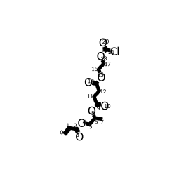 C=CC(=O)OCC(C)OC(=O)CCC(=O)OCCOC(=O)Cl